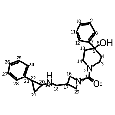 O=C(N1CCC(O)(c2ccccc2)CC1)N1CC(CNC2CC2c2ccccc2)C1